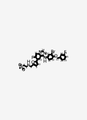 CS(=O)(=O)CCNCc1ccc(-c2cc3c(Nc4ccc(OCc5cccc(F)c5)c(Br)c4)ncnc3cc2F)o1